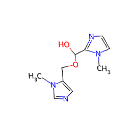 Cn1cncc1COC(O)c1nccn1C